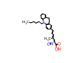 [C-]#[N+]\C(=C/C(C)=C/C=C/c1ccc2c(c1)CCc1ccccc1N2CCCCCC)C(=O)O